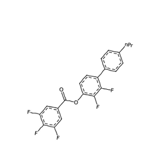 CCCc1ccc(-c2ccc(OC(=O)c3cc(F)c(F)c(F)c3)c(F)c2F)cc1